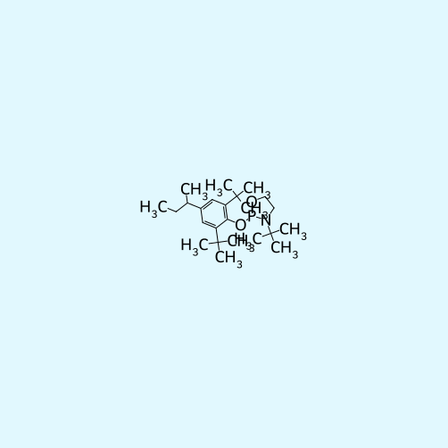 CCC(C)c1cc(C(C)(C)C)c(OP2OCCN2C(C)(C)C)c(C(C)(C)C)c1